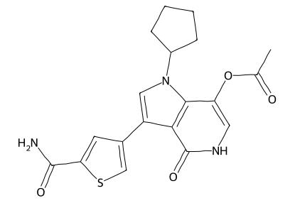 CC(=O)Oc1c[nH]c(=O)c2c(-c3csc(C(N)=O)c3)cn(C3CCCC3)c12